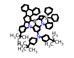 CC(C)(C)c1ccc(N(c2ccc(C(C)(C)C)cc2)c2cc3c4c(c2)-n2c5cc(C(C)(C)C)ccc5c5cc6c7ccccc7c7ccccc7c6c(c52)B4c2cccc4c2N3c2ccccc2[Si]4(C2=CC=CCC2)c2ccccc2)cc1